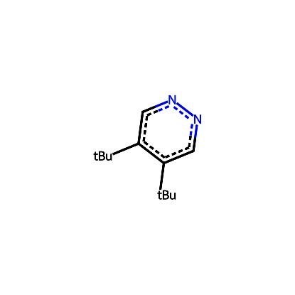 CC(C)(C)c1cnncc1C(C)(C)C